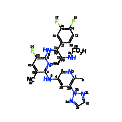 Cc1ncc(Nc2nc(N[C@@H](c3ccc(F)c(F)c3)[C@H](C)NC(=O)O)c(F)cc2C#N)cc1-n1nccn1